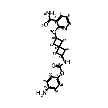 NC(=O)c1cccnc1OC1CC2(CC(NC(=O)Oc3ccc(N)cc3)C2)C1